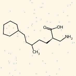 CC(CCC1CCCCC1)CC[C@H](CN)C(=O)O